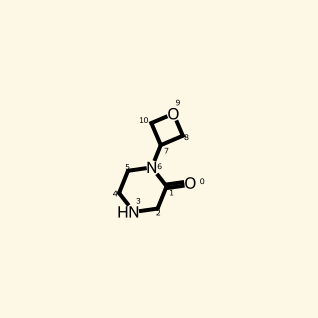 O=C1CNCCN1C1COC1